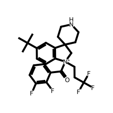 CC(C)(C)c1ccc2c(c1)C1(CCNCC1)C[N+]2(CCC(F)(F)F)C(=O)c1cccc(F)c1F